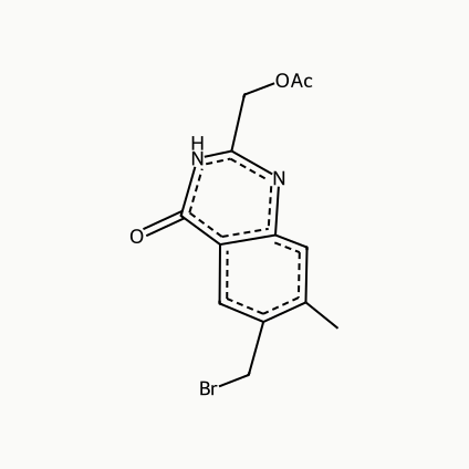 CC(=O)OCc1nc2cc(C)c(CBr)cc2c(=O)[nH]1